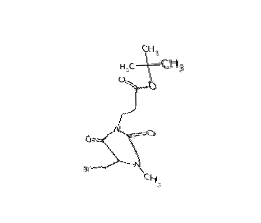 CN1C(=O)N(CCC(=O)OC(C)(C)C)C(=O)C1CBr